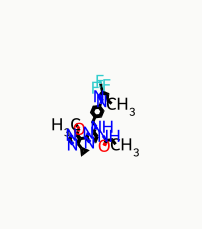 CCC(=O)Nc1cnc(-c2c(OC)ncnc2C2CC2)nc1NCc1ccc(-n2nc(C(F)(F)F)cc2C)cc1